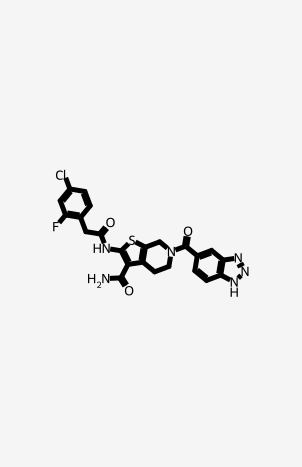 NC(=O)c1c(NC(=O)Cc2ccc(Cl)cc2F)sc2c1CCN(C(=O)c1ccc3[nH]nnc3c1)C2